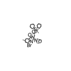 Cc1cc(Br)c2nc(N3CCOCC3)n(CC(C)(C)O[Si](c3ccccc3)(c3ccccc3)C(C)(C)C)c(=O)c2c1